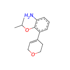 CC(C)Oc1c(N)cccc1C1=CCOCC1